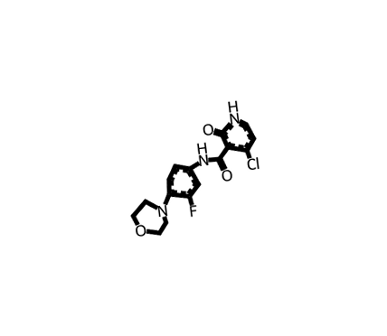 O=C(Nc1ccc(N2CCOCC2)c(F)c1)c1c(Cl)cc[nH]c1=O